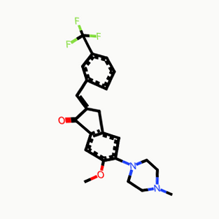 COc1cc2c(cc1N1CCN(C)CC1)C/C(=C\c1cccc(C(F)(F)F)c1)C2=O